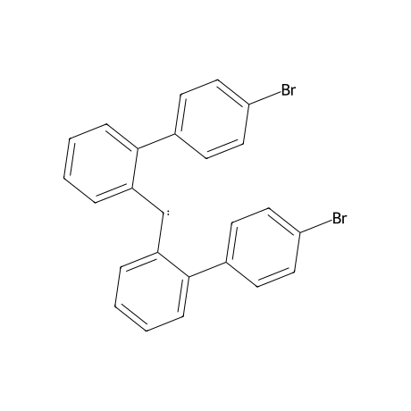 Brc1ccc(-c2ccccc2[C]c2ccccc2-c2ccc(Br)cc2)cc1